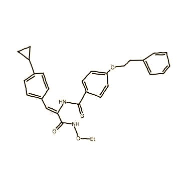 CCONC(=O)/C(=C/c1ccc(C2CC2)cc1)NC(=O)c1ccc(OCCc2ccccc2)cc1